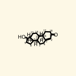 O=C1C=C2CC[C@H]3[C@@H]4CCC(O)[C@H]4CC[C@@H]3[C@H]2CC1